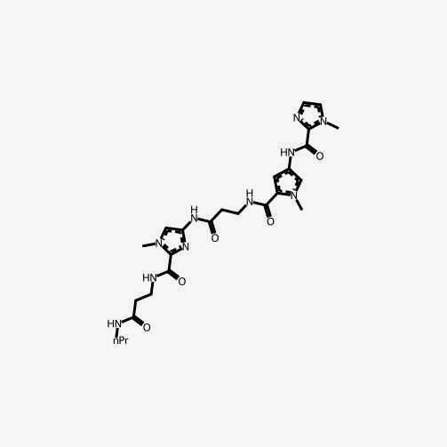 CCCNC(=O)CCNC(=O)c1nc(NC(=O)CCNC(=O)c2cc(NC(=O)c3nccn3C)cn2C)cn1C